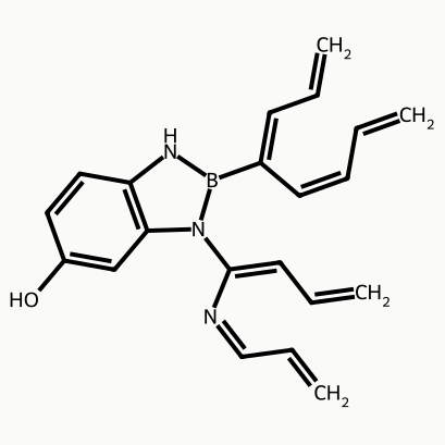 C=C/C=C\C(=C/C=C)B1Nc2ccc(O)cc2N1C(=C/C=C)/N=C\C=C